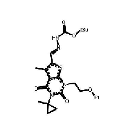 CCOCCn1c(=O)n(C2(C)CC2)c(=O)c2c(C)c(C=NNC(=O)OC(C)(C)C)sc21